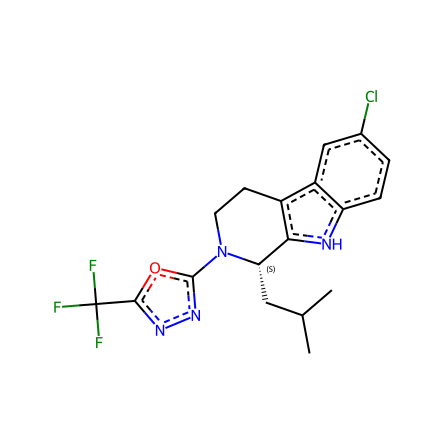 CC(C)C[C@H]1c2[nH]c3ccc(Cl)cc3c2CCN1c1nnc(C(F)(F)F)o1